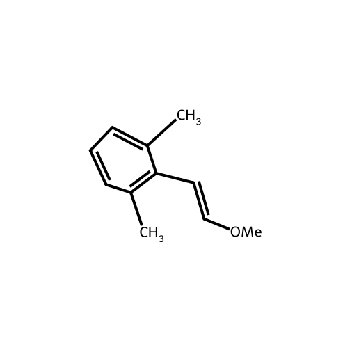 CO/C=C/c1c(C)cccc1C